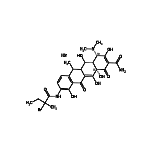 Br.CCC(C)(Br)C(=O)Nc1ccc2c(c1O)C(=O)C1=C(O)[C@]3(O)C(=O)C(C(N)=O)=C(O)[C@@H](N(C)C)C3C(O)C1C2C